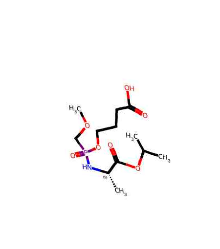 COCP(=O)(N[C@@H](C)C(=O)OC(C)C)OCCCC(=O)O